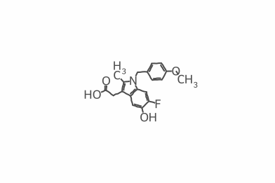 COc1ccc(Cn2c(C)c(CC(=O)O)c3cc(O)c(F)cc32)cc1